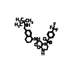 CC(C)(C)NCc1ccc2c(c1)CCC[C@H]2NC(=O)C[C@@H]1C(=O)NCCN1S(=O)(=O)c1ccc(C(F)(F)F)cc1